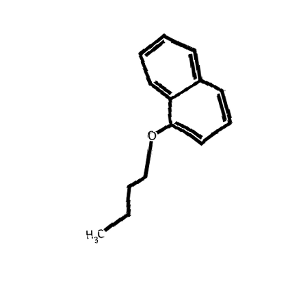 CCCCOc1cc[c]c2ccccc12